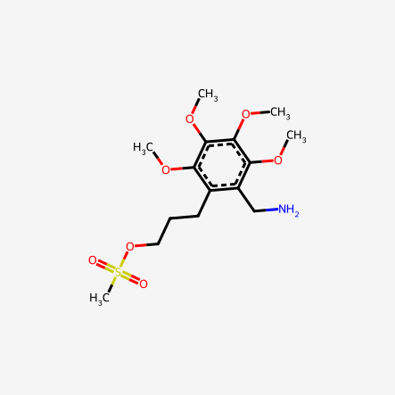 COc1c(CN)c(CCCOS(C)(=O)=O)c(OC)c(OC)c1OC